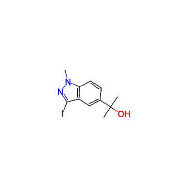 Cn1nc(I)c2cc(C(C)(C)O)ccc21